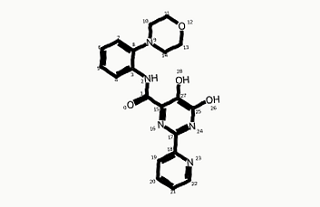 O=C(Nc1ccccc1N1CCOCC1)c1nc(-c2ccccn2)nc(O)c1O